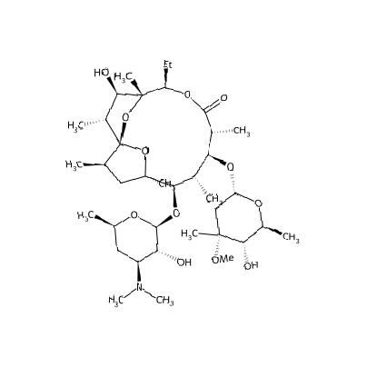 CC[C@H]1OC(=O)[C@H](C)[C@@H](O[C@H]2C[C@@](C)(OC)[C@@H](O)[C@H](C)O2)[C@H](C)[C@@H](O[C@@H]2O[C@H](C)C[C@H](N(C)C)[C@H]2O)[C@@]2(C)C[C@@H](C)[C@@]3(O[C@]1(C)[C@H](O)[C@H]3C)O2